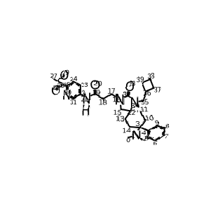 CN(C)[C@]1(c2ccccc2)CC[C@]2(CC1)CN(CCC(=O)Nc1ccc(S(C)(=O)=O)nc1)C(=O)N2CC1CCC1